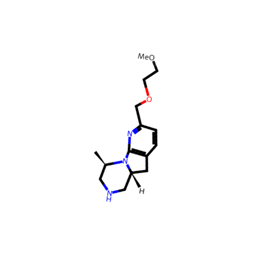 COCCOCc1ccc2c(n1)N1[C@@H](CNC[C@H]1C)C2